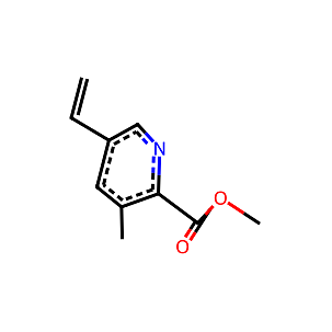 C=Cc1cnc(C(=O)OC)c(C)c1